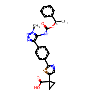 C[C@@H](OC(=O)Nc1c(-c2ccc(-c3ncc(C4(C(=O)O)CC4)s3)cc2)nnn1C)c1ccccc1